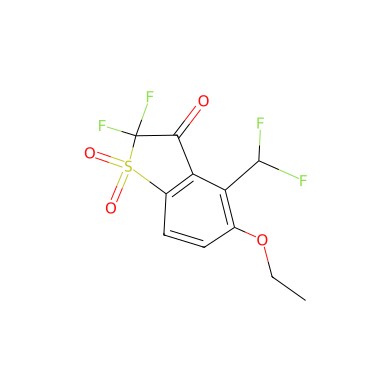 CCOc1ccc2c(c1C(F)F)C(=O)C(F)(F)S2(=O)=O